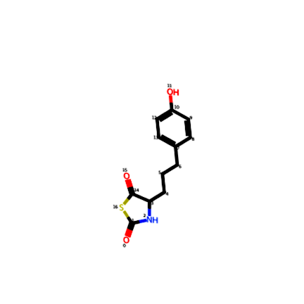 O=C1NC(CCCc2ccc(O)cc2)C(=O)S1